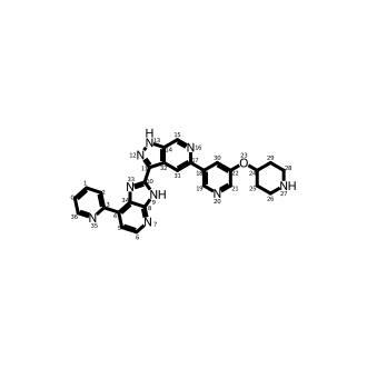 c1ccc(-c2ccnc3[nH]c(-c4n[nH]c5cnc(-c6cncc(OC7CCNCC7)c6)cc45)nc23)nc1